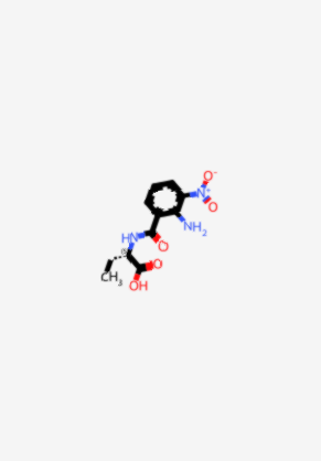 CC[C@H](NC(=O)c1cccc([N+](=O)[O-])c1N)C(=O)O